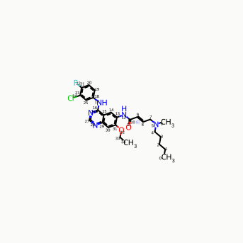 CCCCCN(C)C/C=C/C(=O)Nc1cc2c(Nc3ccc(F)c(Cl)c3)ncnc2cc1OCC